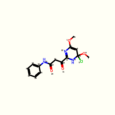 COC1=CC(Cl)(OC)NC(C(=O)CC(=O)Nc2ccccc2)=N1